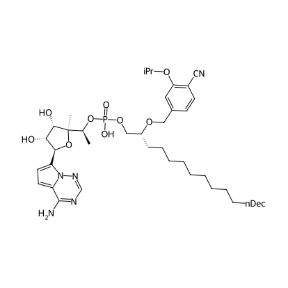 CCCCCCCCCCCCCCCCCCC[C@H](COP(=O)(O)O[C@@H](C)[C@@]1(C)O[C@@H](c2ccc3c(N)ncnn23)[C@H](O)[C@@H]1O)OCc1ccc(C#N)c(OC(C)C)c1